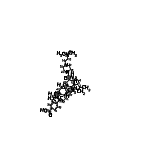 C=C(C)[C@@H]1CC[C@]2(NC(=O)N3CCN(CCN(C)C)CC3)CC[C@]3(C)[C@H](CC[C@@H]4[C@@]5(C)CC=C(c6ccc(C(=O)O)cc6)C(C)(C)[C@@H]5CC[C@]43C)[C@@H]12